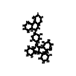 c1cnc2c(c1)cc(-c1ccc(-n3c4ccccc4c4c5ccccc5c5ncccc5c43)cc1)c1cccnc12